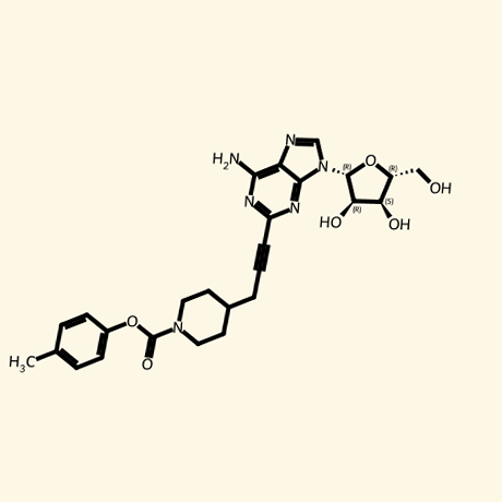 Cc1ccc(OC(=O)N2CCC(CC#Cc3nc(N)c4ncn([C@@H]5O[C@H](CO)[C@@H](O)[C@H]5O)c4n3)CC2)cc1